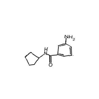 Nc1c[c]cc(C(=O)NC2CCCC2)c1